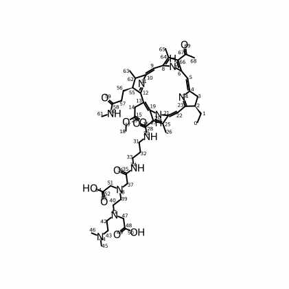 CC[C@@H]1Cc2cc3[nH]c(cc4nc(c(CC(=O)OC)c5[nH]c(cc1n2)c(C)c5C(=O)NCCCNC(=O)CN(CCN(CCN(C)C)CC(=O)O)CC(=O)O)[C@@H](CCC(=O)NC)C4C)c(C)c3C(C)=O